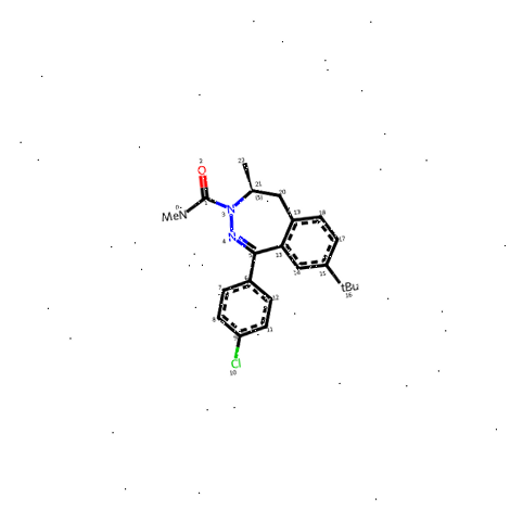 CNC(=O)N1N=C(c2ccc(Cl)cc2)c2cc(C(C)(C)C)ccc2C[C@@H]1C